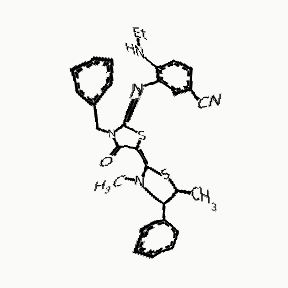 CCNc1ccc(C#N)cc1N=C1SC(=C2SC(C)C(c3ccccc3)N2C)C(=O)N1Cc1ccccc1